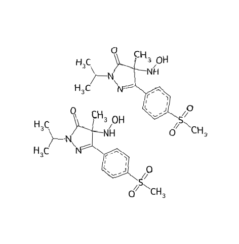 CC(C)N1N=C(c2ccc(S(C)(=O)=O)cc2)C(C)(NO)C1=O.CC(C)N1N=C(c2ccc(S(C)(=O)=O)cc2)C(C)(NO)C1=O